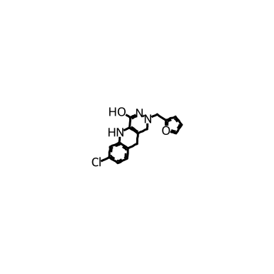 OC1=NN(Cc2ccco2)CC2=C1Nc1cc(Cl)ccc1C2